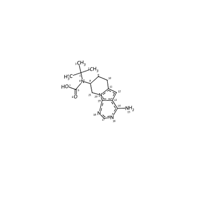 CC(C)(C)N(C(=O)O)C1CCc2cc3c(N)ncnc3n2C1